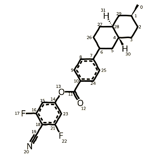 C[C@H]1CC[C@@H]2CC(c3ccc(C(=O)Oc4cc(F)c(C#N)c(F)c4)cc3)CC[C@H]2C1